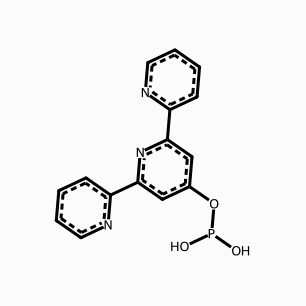 OP(O)Oc1cc(-c2ccccn2)nc(-c2ccccn2)c1